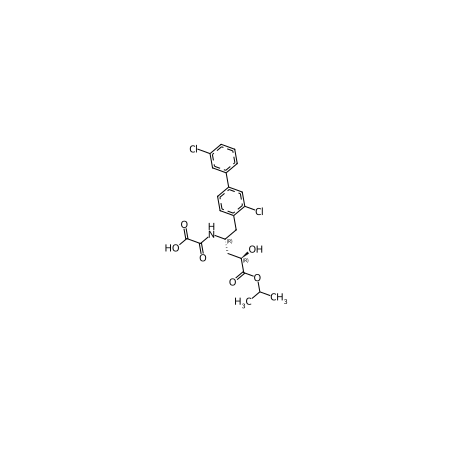 CC(C)OC(=O)[C@H](O)C[C@@H](Cc1ccc(-c2cccc(Cl)c2)cc1Cl)NC(=O)C(=O)O